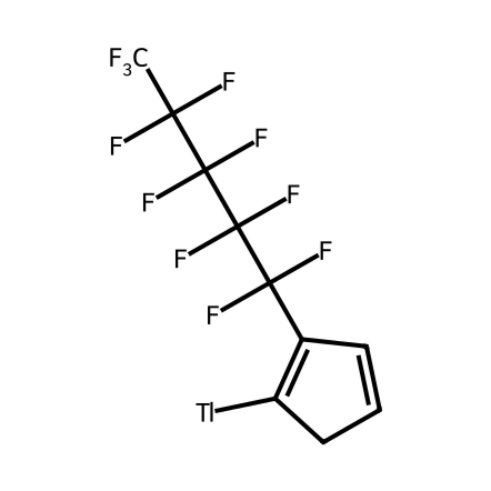 FC(F)(F)C(F)(F)C(F)(F)C(F)(F)C(F)(F)C1=[C]([Tl])CC=C1